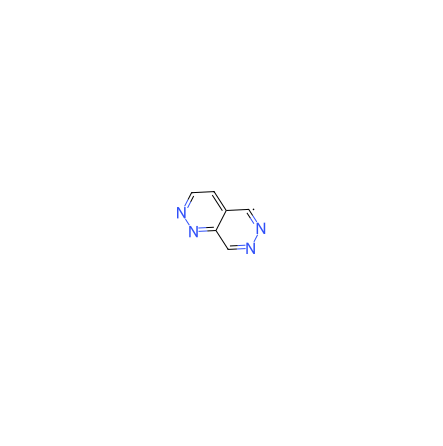 [c]1nncc2nnccc12